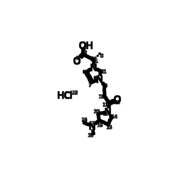 C[C@@H](C(=O)O)N1C=CN(CCC(=O)N2CCC(N(C)C)C2)C1.Cl